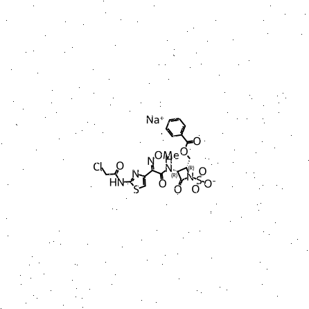 CON=C(C(=O)N[C@H]1C(=O)N(S(=O)(=O)[O-])[C@H]1COC(=O)c1ccccc1)c1csc(NC(=O)CCl)n1.[Na+]